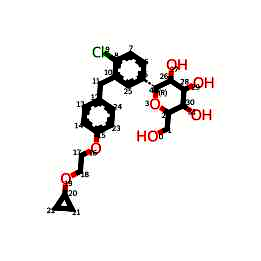 OCC1O[C@H](c2ccc(Cl)c(Cc3ccc(OCCOC4CC4)cc3)c2)C(O)C(O)C1O